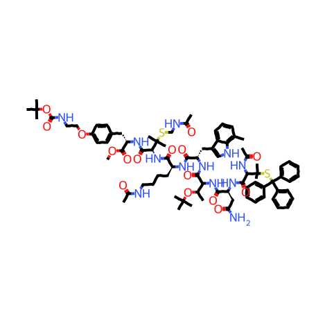 COC(=O)[C@H](Cc1ccc(OCCNC(=O)OC(C)(C)C)cc1)NC(=O)[C@@H](NC(=O)[C@H](CCCCNC(C)=O)NC(=O)[C@H](Cc1c[nH]c2c(C)cccc12)NC(=O)C(NC(=O)[C@H](CC(N)=O)NC(=O)C(NC(C)=O)C(C)(C)SC(c1ccccc1)(c1ccccc1)c1ccccc1)C(C)OC(C)(C)C)C(C)(C)SCNC(C)=O